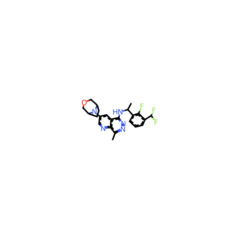 Cc1nnc(NC(C)c2cccc(C(F)F)c2F)c2cc(N3C4CCC3COC4)cnc12